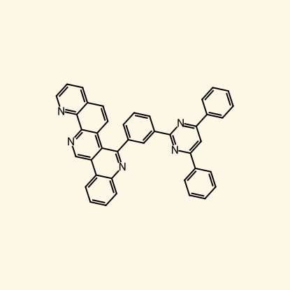 c1ccc(-c2cc(-c3ccccc3)nc(-c3cccc(-c4nc5ccccc5c5cnc6c(ccc7cccnc76)c45)c3)n2)cc1